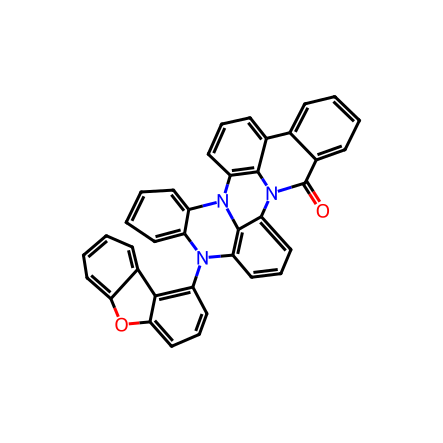 O=c1c2ccccc2c2cccc3c2n1c1cccc2c1-n3c1ccccc1n2-c1cccc2oc3ccccc3c12